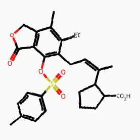 CCc1c(C)c2c(c(OS(=O)(=O)c3ccc(C)cc3)c1CC=C(C)C1CCCC1C(=O)O)C(=O)OC2